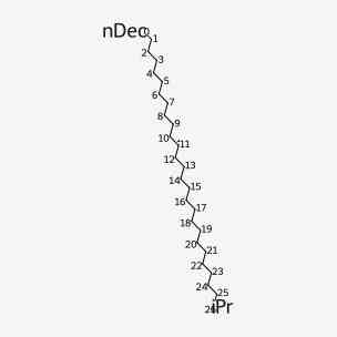 CCCCCCCCCCCCCCCCCCCC[CH]CCCCCCCCCCCCCCC(C)C